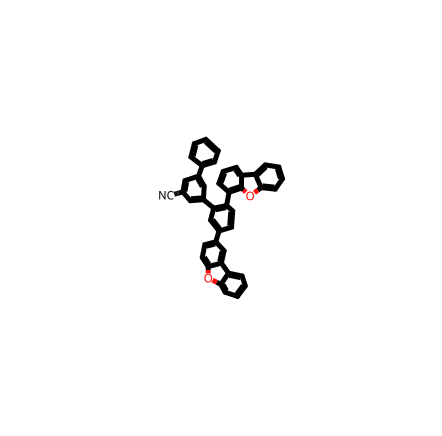 N#Cc1cc(-c2ccccc2)cc(-c2cc(-c3ccc4oc5ccccc5c4c3)ccc2-c2cccc3c2oc2ccccc23)c1